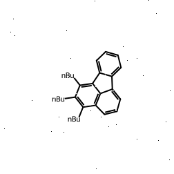 CCCCc1c(CCCC)c2c3c(cccc3c1CCCC)-c1ccccc1-2